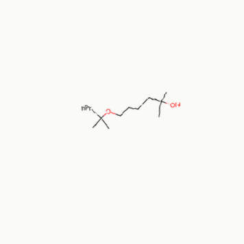 CCCC(C)(C)OCCCCC(C)(C)O